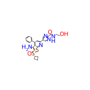 Nc1c([S+]([O-])C2CCC2)sc2nc(-c3cnc(C(=O)NCCO)nc3)cc(-c3ccccc3)c12